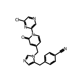 N#Cc1ccc(Cc2cncn2Cc2ccn(-c3cncc(Cl)n3)c(=O)c2)cc1